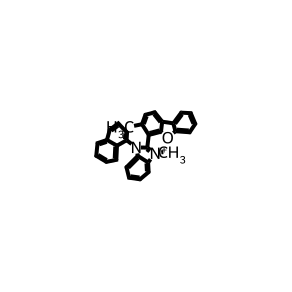 Cc1ccc2c(oc3ccccc32)c1-c1n(-c2cccc3ccccc23)c2ccccc2[n+]1C